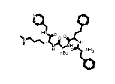 CCCC[C@@H](NC(=O)[C@@H](CCc1ccccc1)NC(=O)[C@H](N)Cc1ccccc1)C(=O)N[C@H](CCCCN(C)C)C(=O)NCc1ccncc1